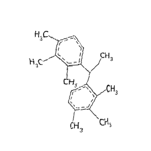 CCC(c1ccc(C)c(C)c1C)c1ccc(C)c(C)c1C